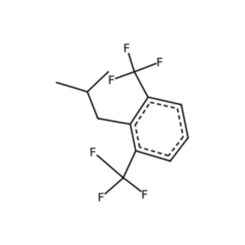 CC(C)Cc1c(C(F)(F)F)cccc1C(F)(F)F